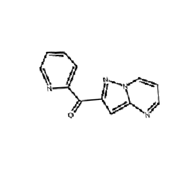 O=C(c1ccccn1)c1cc2ncccn2n1